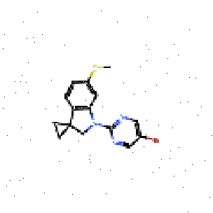 CSc1ccc2c(c1)N(c1ncc(Br)cn1)CC21CC1